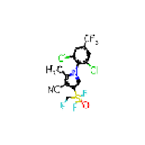 Cc1c(C#N)c(S(=O)(F)(F)CF)cn1-c1c(Cl)cc(C(F)(F)F)cc1Cl